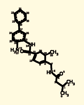 CC(C)CC(=O)NCC1=CC=C(C(=O)Nc2cc(-c3ccccc3)ccc2N)C[C@H]1C